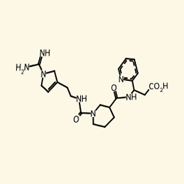 N=C(N)N1CC=C(CCNC(=O)N2CCCC(C(=O)NC(CC(=O)O)c3ccccn3)C2)C1